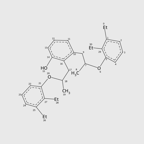 CCc1cccc(OC(C)Cc2cccc(O)c2CC(C)Oc2cccc(CC)c2CC)c1CC